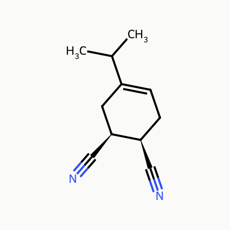 CC(C)C1=CC[C@@H](C#N)[C@@H](C#N)C1